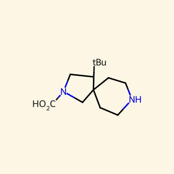 CC(C)(C)C1CN(C(=O)O)CC12CCNCC2